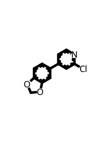 Clc1cc(-c2ccc3c(c2)OCO3)ccn1